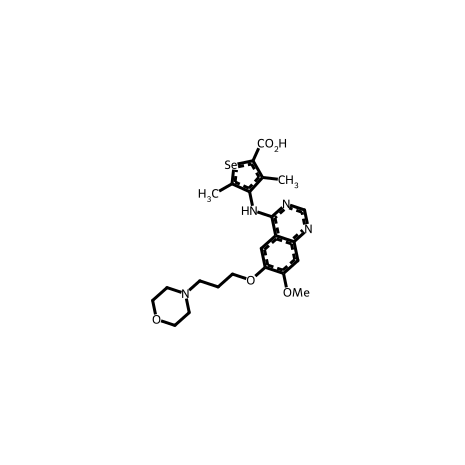 COc1cc2ncnc(Nc3c(C)[se]c(C(=O)O)c3C)c2cc1OCCCN1CCOCC1